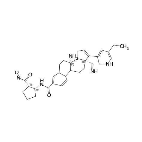 CCC1=CNCC(C2=CCC3[C@]4(N)CCC5C=C(C(=O)N[C@@H]6CCC[C@@H]6C(=O)N=O)C=CC5C4CC[C@]23C=N)=C1